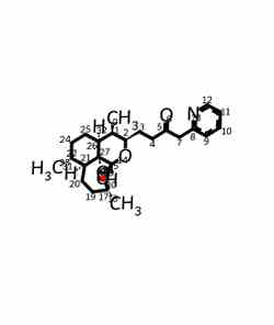 C[C@H]1[C@@H](CCC(=O)Cc2ccccn2)O[C@@H]2O[C@]3(C)CC[C@H]4[C@H](C)CC[C@@H]1[C@@]24OO3